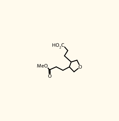 COC(=O)CCC1COCC1CCC(=O)O